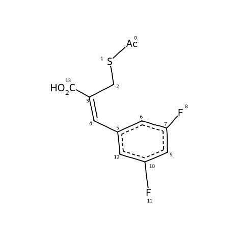 CC(=O)SCC(=Cc1cc(F)cc(F)c1)C(=O)O